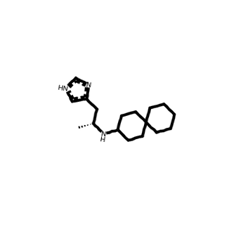 C[C@H](Cc1c[nH]cn1)NC1CCC2(CCCCC2)CC1